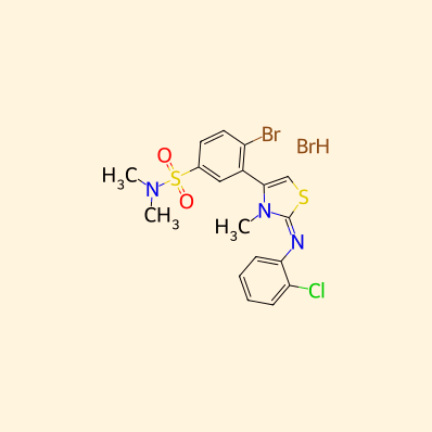 Br.CN(C)S(=O)(=O)c1ccc(Br)c(-c2csc(=Nc3ccccc3Cl)n2C)c1